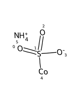 O=[S](=O)([O-])[Co].[NH4+]